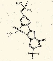 CCS(=O)(=O)c1cc(N=S(C)(C)=O)cnc1-c1cn2c(=O)[nH]c(C(F)(F)F)cc2n1